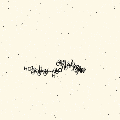 CCCO[C@H](C[C@H](C(C)C)N(CCC)C(=O)[C@@H](NC(=O)[C@H]1CCCCN1C)[C@@H](C)CC)c1nc(C(=O)NC(Cc2ccc(OC(=O)NCCCCNC(=O)CCNC(=O)OCC(OC)OC(CC)CO)cc2)C[C@H](C)C(=O)O)cs1